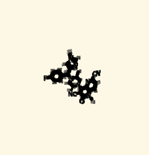 CC1CN(c2c(C#N)c(=O)n(C)c3ccc(C#N)nc23)[C@@H](C)CN1C(c1ccc(F)cc1)c1cn(C)cn1